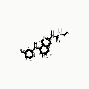 CCNC(=O)Nc1cc2cccc(Nc3cc(C)ccn3)c2cn1.Cl